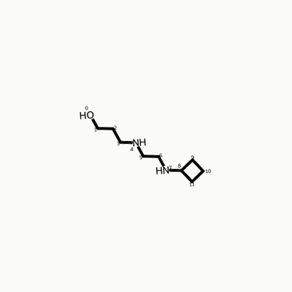 OCCCNCCNC1CCC1